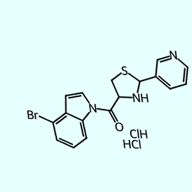 Cl.Cl.O=C(C1CSC(c2cccnc2)N1)n1ccc2c(Br)cccc21